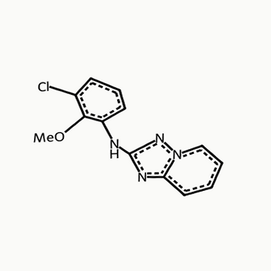 COc1c(Cl)cccc1Nc1nc2ccccn2n1